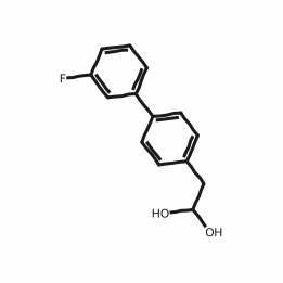 OC(O)Cc1ccc(-c2cccc(F)c2)cc1